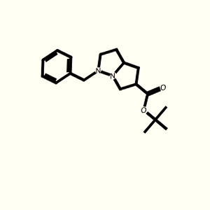 CC(C)(C)OC(=O)C1CC2CCN(Cc3ccccc3)N2C1